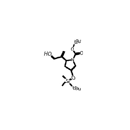 C=C(CO)C1CC(O[Si](C)(C)C(C)(C)C)CN1C(=O)OC(C)(C)C